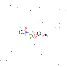 COc1cccc(S(=O)(=O)C(F)(F)/C(F)=C/CN2C(=O)c3ccccc3C2=O)c1